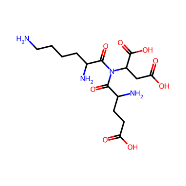 NCCCCC(N)C(=O)N(C(=O)C(N)CCC(=O)O)C(CC(=O)O)C(=O)O